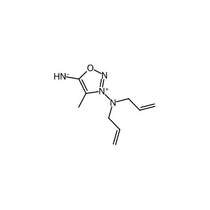 C=CCN(CC=C)[n+]1noc([NH-])c1C